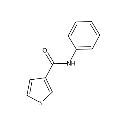 O=C(Nc1ccccc1)c1[c]scc1